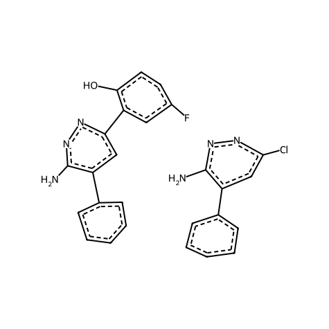 Nc1nnc(-c2cc(F)ccc2O)cc1-c1ccccc1.Nc1nnc(Cl)cc1-c1ccccc1